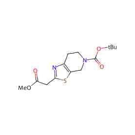 COC(=O)Cc1nc2c(s1)CN(C(=O)OC(C)(C)C)CC2